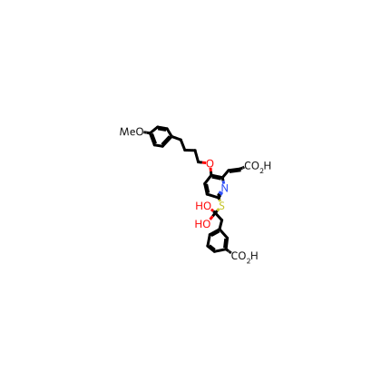 COc1ccc(CCCCOc2ccc(SC(O)(O)Cc3cccc(C(=O)O)c3)nc2C=CC(=O)O)cc1